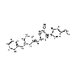 COc1ccc(N2CC(CN3CCCC(Cc4ccccc4)C3)OC2=O)cc1